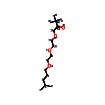 CC(C)CCCOCCOCCOCC(=O)C(C)(C)C